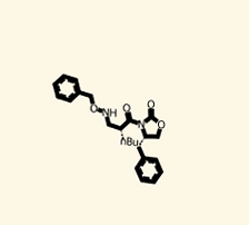 CCCC[C@H](CNOCc1ccccc1)C(=O)N1C(=O)OC[C@@H]1Cc1ccccc1